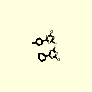 Cc1ccc(-c2nc(Cl)nc(Cl)n2)cc1.Clc1nc(Cl)nc(-c2ccccc2)n1